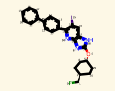 FC[C@H]1CC[C@H](Oc2nc3nc(-c4ccc(-c5ccccc5)cc4)c(I)cc3[nH]2)CC1